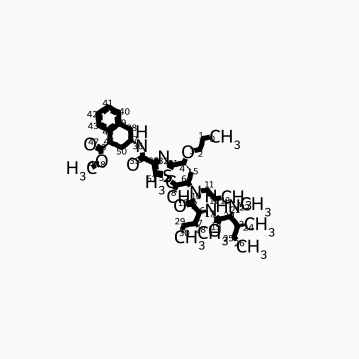 CCCO[C@H](CC(C(C)C)N(CCC)C(=O)[C@@H](NC(=O)[C@@H](NC)[C@@H](C)CC)[C@@H](C)CC)c1nc(C(=O)N[C@H]2Cc3ccccc3[C@H](C(=O)OC)C2)cs1